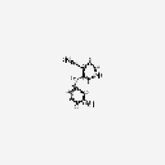 N#Cc1ccncc1Sc1cccc(Cl)c1